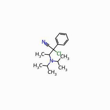 CC(C)N(C(C)C)C(C)C(Cl)(C#N)c1ccccc1